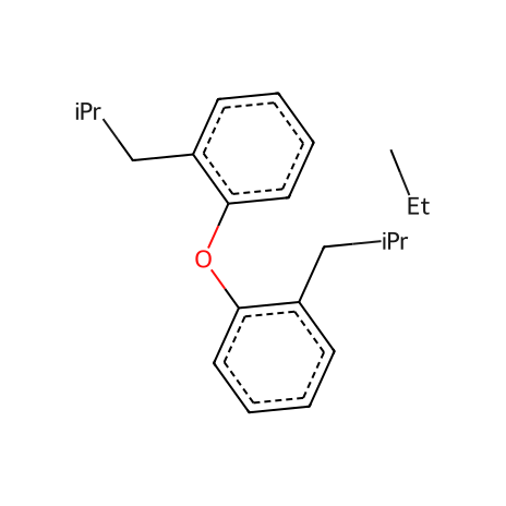 CC(C)Cc1ccccc1Oc1ccccc1CC(C)C.CCC